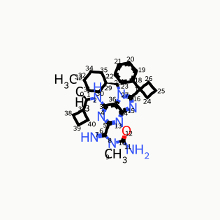 C[C@@H](Nc1nc(C(=N)N(C)C(N)=O)nc2nc(C3(c4ccccc4)CCC3)n(C[C@H]3CC[C@H](C)CC3)c12)C1CCC1